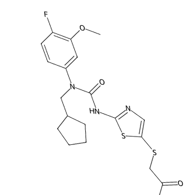 COc1cc(N(CC2CCCC2)C(=O)Nc2ncc(SCC(=O)O)s2)ccc1F